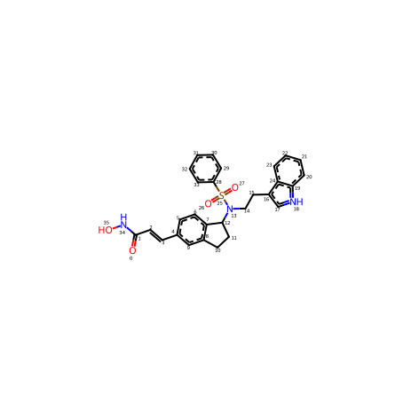 O=C(C=Cc1ccc2c(c1)CCC2N(CCc1c[nH]c2ccccc12)S(=O)(=O)c1ccccc1)NO